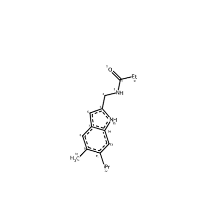 CCC(=O)NCc1cc2cc(C)c(C(C)C)cc2[nH]1